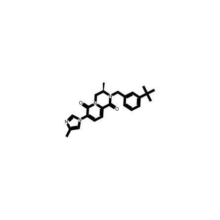 Cc1cn(-c2ccc3n(c2=O)C[C@@H](C)N(Cc2cccc(C(C)(C)C)c2)C3=O)cn1